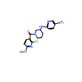 COc1ccc(C(=O)N2CCCC(Nc3ccc(C(F)(F)F)cn3)C2)c(Cl)n1